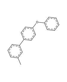 Cc1cc[c]c(-c2ccc(Oc3ccccc3)cc2)c1